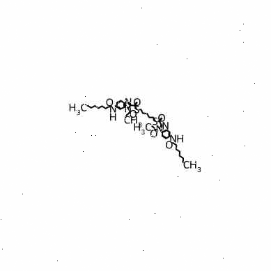 CCCCCCCC(=O)Nc1ccc2c(c1)nc(C(=O)SCCCCCSC(=O)c1nc3ccc(NC(=O)CCCCCCC)cc3n1C(=O)CC)n2C(=O)CC